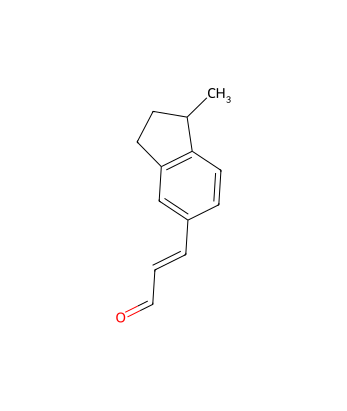 CC1CCc2cc(C=CC=O)ccc21